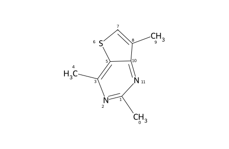 Cc1nc(C)c2scc(C)c2n1